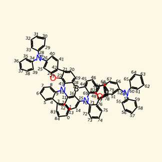 c1ccc(-c2ccccc2N2c3cccc4c3B(c3ccc5c(oc6cc(N(c7ccccc7)c7ccccc7)ccc65)c32)c2ccc3c(oc5cc(N(c6ccccc6)c6ccccc6)ccc53)c2N4c2ccccc2-c2ccccc2)cc1